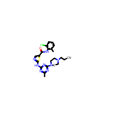 Cc1nc(Nc2ncc(C(=O)Nc3c(C)cccc3Cl)s2)nc(N2CCN(CCC#N)CC2)n1